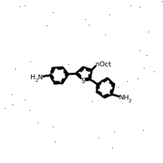 CCCCCCCCc1cc(-c2ccc(N)cc2)sc1-c1ccc(N)cc1